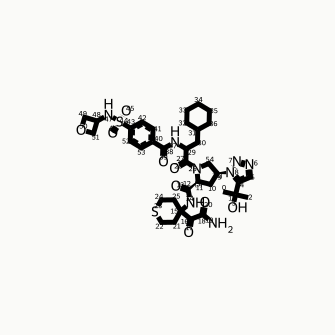 CC(C)(O)c1cnnn1[C@H]1C[C@@H](C(=O)NC2(C(=O)C(N)=O)CCSCC2)N(C(=O)C(CC2CCCCC2)NC(=O)c2ccc(S(=O)(=O)NC3COC3)cc2)C1